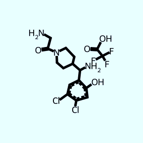 NCC(=O)N1CCC(C(N)c2cc(Cl)c(Cl)cc2O)CC1.O=C(O)C(F)(F)F